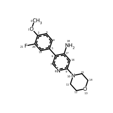 COc1ccc(-c2cnc(N3CCOCC3)cc2N)cc1F